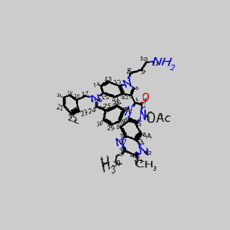 CC(=O)On1c(=O)c(-c2cn(CCCN)c3ccc(N(Cc4ccccc4)Cc4ccccc4)cc23)nc2cc3nc(C)c(C)nc3cc21